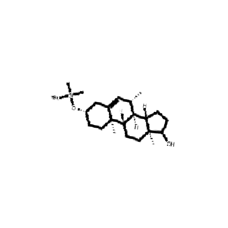 C[C@H]1C=C2C[C@@H](O[Si](C)(C)C(C)(C)C)CC[C@]2(C)[C@H]2CC[C@]3(C)C(O)CC[C@H]3[C@H]12